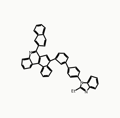 CCc1nc2ccccc2n1-c1ccc(-c2cccc(-c3cc4c(-c5ccc6ccccc6c5)nc5ccccc5c4c4ccccc34)c2)cc1